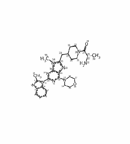 Cc1nc2ccccc2n1-c1nc(N2CCOCC2)c2nc(CC3CCN(C(=O)[C@H](C)N)CC3)n(C)c2n1